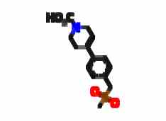 CS(=O)(=O)Cc1ccc(C2=CCN(C(=O)O)CC2)cc1